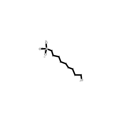 ClCCCCCCCCC[Si](Cl)(Cl)Cl